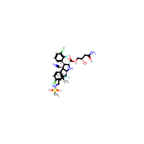 CC(C)(CCNS(C)(=O)=O)C[C@@H]1N[C@@H](C(=O)OC[C@@H](O)CC(N)=O)[C@H](c2cccc(Cl)c2F)[C@@]1(C#N)c1ccc(Cl)cc1F